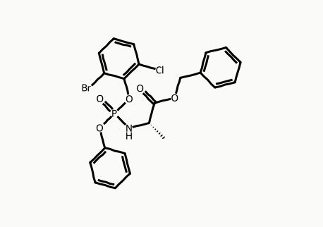 C[C@H](NP(=O)(Oc1ccccc1)Oc1c(Cl)cccc1Br)C(=O)OCc1ccccc1